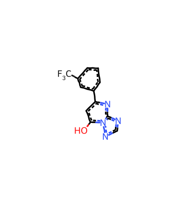 Oc1cc(-c2cccc(C(F)(F)F)c2)nc2ncnn12